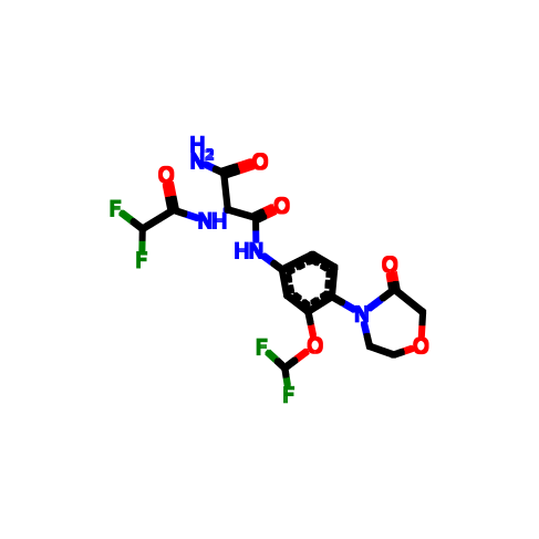 NC(=O)[C@@H](NC(=O)C(F)F)C(=O)Nc1ccc(N2CCOCC2=O)c(OC(F)F)c1